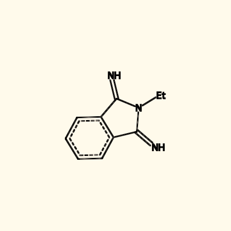 CCN1C(=N)c2ccccc2C1=N